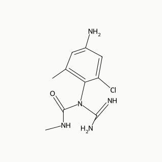 CNC(=O)N(C(=N)N)c1c(C)cc(N)cc1Cl